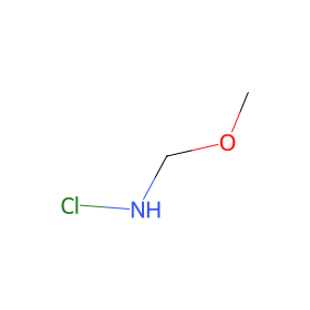 COCNCl